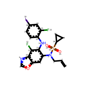 C=CCN(c1cc2ocnc2c(F)c1Nc1ccc(I)cc1F)S(=O)(=O)C1CC1